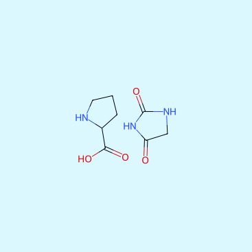 O=C(O)C1CCCN1.O=C1CNC(=O)N1